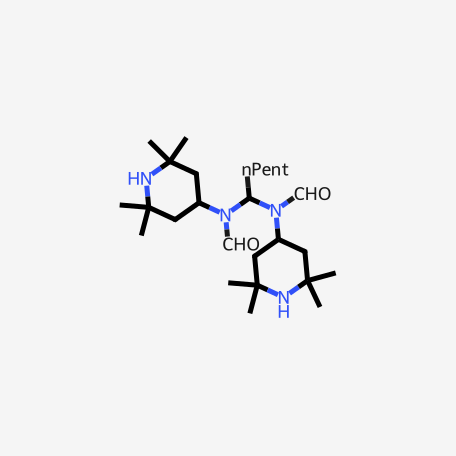 CCCCCC(N(C=O)C1CC(C)(C)NC(C)(C)C1)N(C=O)C1CC(C)(C)NC(C)(C)C1